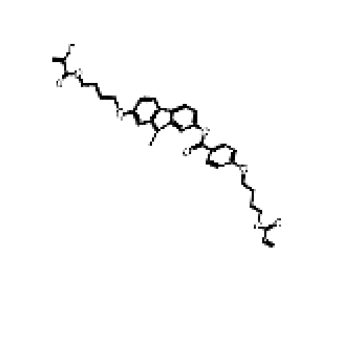 C=CC(=O)OCCCCOc1ccc(C(=O)Oc2ccc3c(c2)C(C)c2cc(OCCCCOC(=O)C(=C)F)ccc2-3)cc1